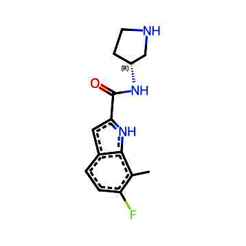 Cc1c(F)ccc2cc(C(=O)N[C@@H]3CCNC3)[nH]c12